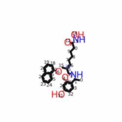 CC(NC(=O)/C(=C/CCCCC(=O)NO)COc1cccc2ccccc12)c1ccc(O)cc1